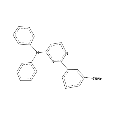 COc1cccc(-c2nccc(N(c3ccccc3)c3ccccc3)n2)c1